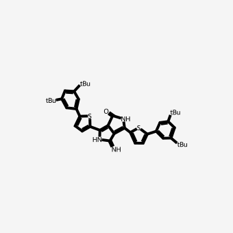 CC(C)(C)c1cc(-c2ccc(C3=C4C(=N)NC(c5ccc(-c6cc(C(C)(C)C)cc(C(C)(C)C)c6)s5)=C4C(=O)N3)s2)cc(C(C)(C)C)c1